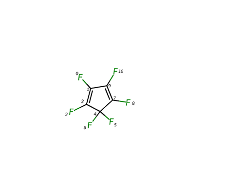 FC1=C(F)C(F)(F)C(F)=C1F